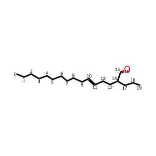 CCCCCCCCCC/C=C/CCC([C]=O)CCC